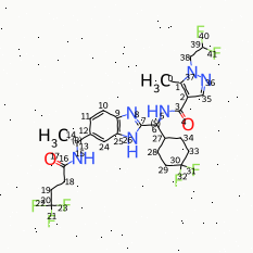 Cc1c(C(=O)N[C@H](c2nc3ccc([C@@H](C)NC(=O)CCC(F)(F)F)cc3[nH]2)C2CCC(F)(F)CC2)cnn1CC(F)F